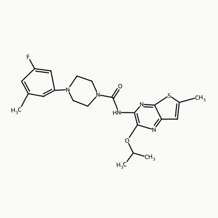 Cc1cc(F)cc(N2CCN(C(=O)Nc3nc4sc(C)cc4nc3OC(C)C)CC2)c1